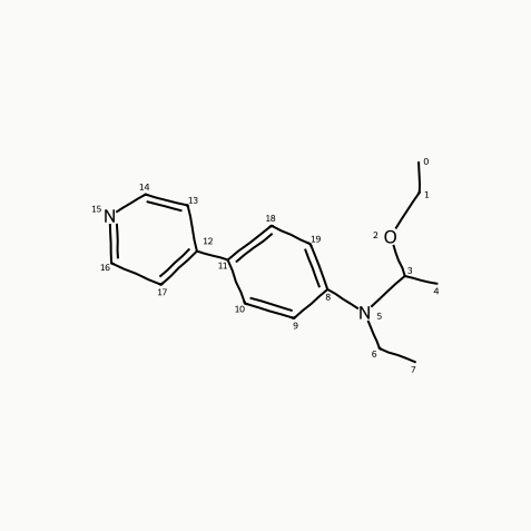 CCOC(C)N(CC)c1ccc(-c2ccncc2)cc1